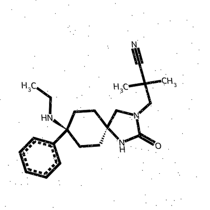 CCN[C@]1(c2ccccc2)CC[C@]2(CC1)CN(CC(C)(C)C#N)C(=O)N2